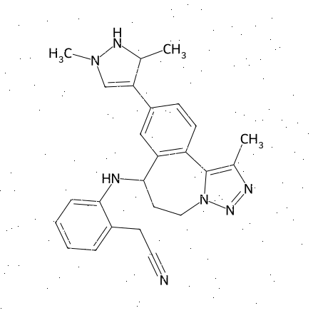 Cc1nnn2c1-c1ccc(C3=CN(C)NC3C)cc1C(Nc1ccccc1CC#N)CC2